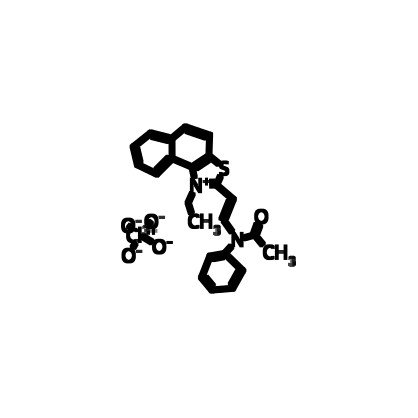 CC[n+]1c(C=CN(C(C)=O)c2ccccc2)sc2ccc3ccccc3c21.[O-][Cl+3]([O-])([O-])[O-]